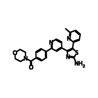 Cc1cccc(-c2sc(N)nc2-c2ccnc(-c3ccc(C(=O)N4CCOCC4)cc3)c2)n1